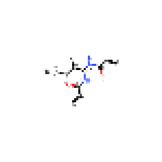 C=CC(=O)NC(NC(=O)C=C)C(C)CS(=O)(=O)O